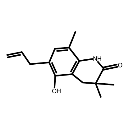 C=CCc1cc(C)c2c(c1O)CC(C)(C)C(=O)N2